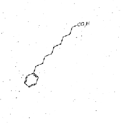 O=C(O)CCCCCCCCCc1ccccc1